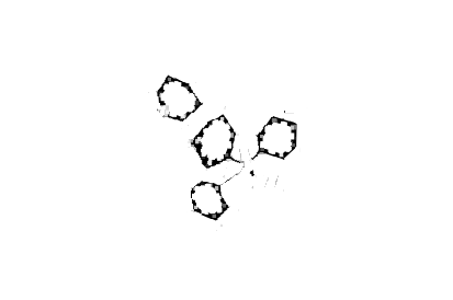 C[PH](c1ccccc1)(c1ccccc1)c1ccccc1.I.c1ccncc1